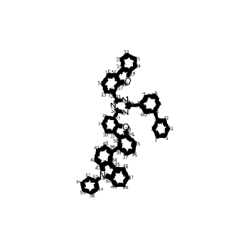 c1ccc(-c2cccc(-c3nc(-c4cccc5c4oc4ccccc45)nc(-c4cccc5c4oc4cccc(-c6cccc7c6c6ccccc6n7-c6ccccc6)c45)n3)c2)cc1